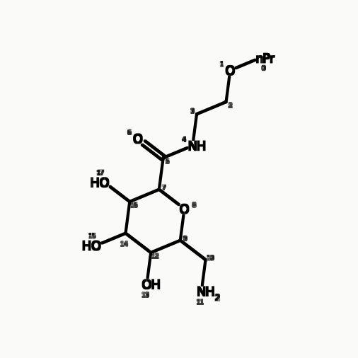 CCCOCCNC(=O)C1OC(CN)C(O)C(O)C1O